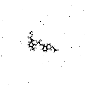 CCOC(=O)[C@@H]1C[C@H]1CN(Cc1ccccc1C(F)(F)F)C(=O)CNc1cccc2c1CCN(CC1CC1)C2